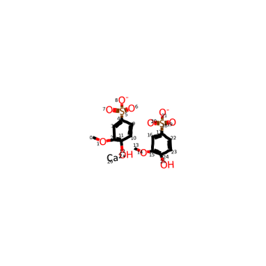 COc1cc(S(=O)(=O)[O-])ccc1O.COc1cc(S(=O)(=O)[O-])ccc1O.[Ca+2]